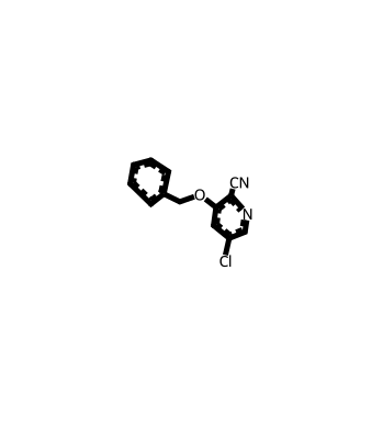 N#Cc1ncc(Cl)cc1OCc1ccccc1